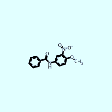 COc1ccc(NC(=O)c2ccccc2)cc1[N+](=O)[O-]